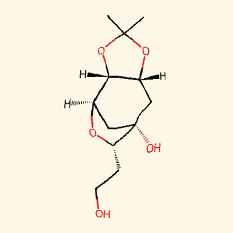 CC1(C)O[C@H]2[C@H]3C[C@@](O)(C[C@H]2O1)[C@H](CCO)O3